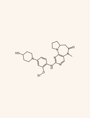 CCOc1cc(N2CCC(O)CC2)ccc1Nc1ncc2c(n1)N1CCCC1CC(=O)N2C